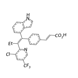 CC/C(=C(/c1ccc(/C=C/C(=O)O)cc1)c1cccc2[nH]ccc12)c1ncc(C(F)(F)F)cc1Cl